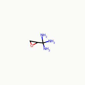 NC(N)(N)C1CO1